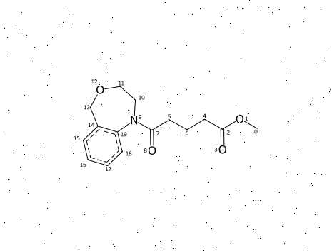 COC(=O)CCCC(=O)N1CCOCc2ccccc21